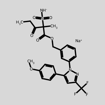 CCC(=O)C(C)(C(=O)OCc1cccc(-n2nc(C(F)(F)F)cc2-c2ccc(OC)cc2)c1)S([NH-])(=O)=O.[Na+]